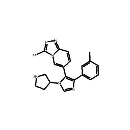 Cc1cccc(-c2ncn(C3CCNC3)c2-c2ccc3nnc(C(C)C)n3c2)c1